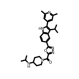 Cc1cc(-c2[nH]c3ccc(-c4nnc(C(=O)N5CCC(NC(C)C)CC5)o4)cc3c2C(C)C)cc(C)n1